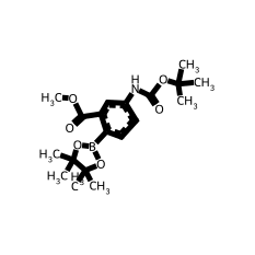 COC(=O)c1cc(NC(=O)OC(C)(C)C)ccc1B1OC(C)(C)C(C)(C)O1